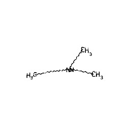 CCCCCCCCCCCCCCCCCCCN1C=CN(CCCCCCCCCCC)C1CCCCCCCCCCCC